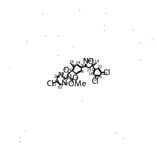 COC(=O)N(C(=O)c1ccc(C2=NOC(C)(c3cc(Cl)cc(Cl)c3)C2)cc1C)c1ncc(Cl)cn1